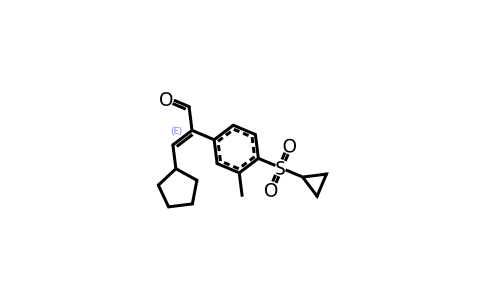 Cc1cc(/C(C=O)=C\C2CCCC2)ccc1S(=O)(=O)C1CC1